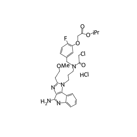 COCCc1nc2c(N)nc3ccccc3c2n1CCCN(Cc1ccc(F)c(OCC(=O)OC(C)C)c1)C(=O)CCl.Cl